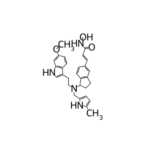 COc1ccc2c(CCN(Cc3ccc(C)[nH]3)C3CCc4cc(C=CC(=O)NO)ccc43)c[nH]c2c1